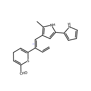 C=C/C(=C\c1cc(-c2ccc[nH]2)[nH]c1C)C1=CCC=C(C=O)S1